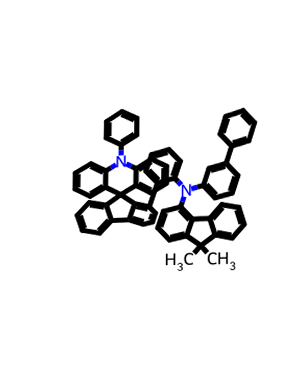 CC1(C)c2ccccc2-c2c(N(c3cccc(-c4ccccc4)c3)c3ccccc3-c3cccc4c3C3(c5ccccc5-4)c4ccccc4N(c4ccccc4)c4ccccc43)cccc21